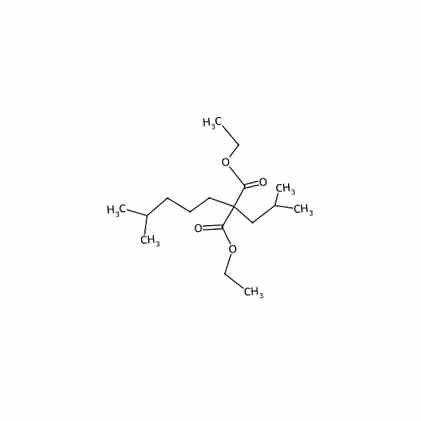 CCOC(=O)C(CCCC(C)C)(CC(C)C)C(=O)OCC